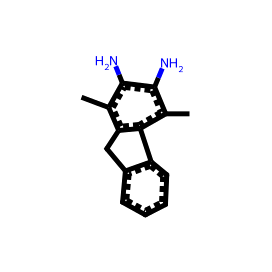 Cc1c(N)c(N)c(C)c2c1Cc1ccccc1-2